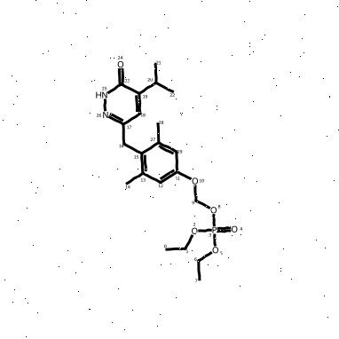 CCOP(=O)(OCC)OCOc1cc(C)c(Cc2cc(C(C)C)c(=O)[nH]n2)c(C)c1